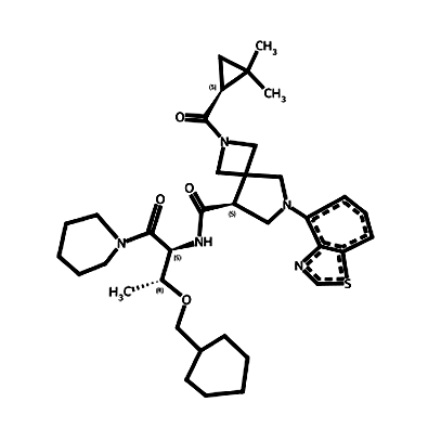 C[C@@H](OCC1CCCCC1)[C@H](NC(=O)[C@@H]1CN(c2cccc3scnc23)CC12CN(C(=O)[C@H]1CC1(C)C)C2)C(=O)N1CCCCC1